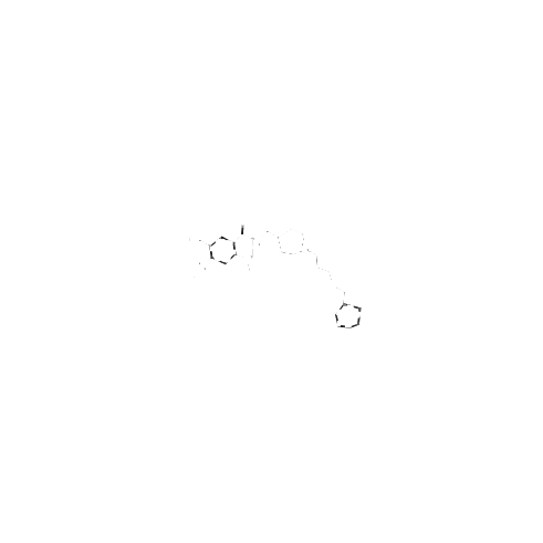 COc1cc(N)c(Cl)cc1C(=O)NCC1CCN(CCCOCc2ccccc2)CC1